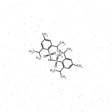 Cc1cc(C(C)C)c(S(=O)(=O)NS(=O)(=O)c2c(C(C)C)cc(C)cc2C(C)C)c(C(C)C)c1